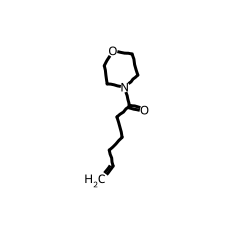 C=CCCCC(=O)N1CCOCC1